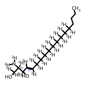 [2H]/C(=C(/[2H])[C@@]([2H])(O)[C@@]([2H])(N([2H])[2H])C([2H])([2H])O)C([2H])([2H])C([2H])([2H])C([2H])([2H])C([2H])([2H])C([2H])([2H])C([2H])([2H])C([2H])([2H])C([2H])([2H])C([2H])([2H])CCCC